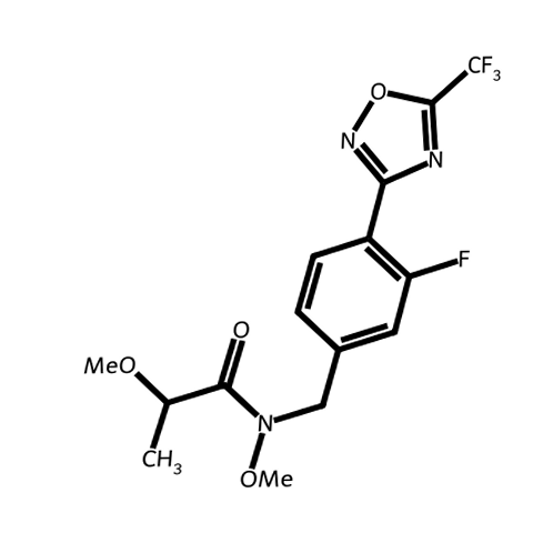 COC(C)C(=O)N(Cc1ccc(-c2noc(C(F)(F)F)n2)c(F)c1)OC